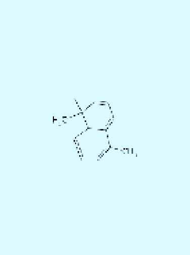 CC1=CC=CC2C1=CC=CC2(C)I